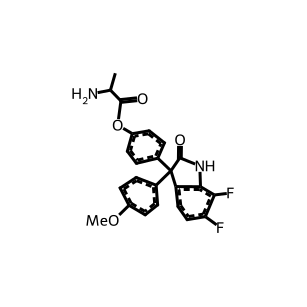 COc1ccc(C2(c3ccc(OC(=O)C(C)N)cc3)C(=O)Nc3c2ccc(F)c3F)cc1